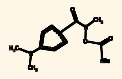 CCCCC(=O)ON(C)C(=O)c1ccc(N(C)C)cc1